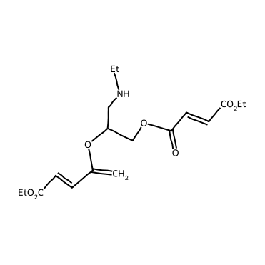 C=C(/C=C/C(=O)OCC)OC(CNCC)COC(=O)/C=C/C(=O)OCC